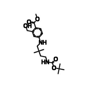 COC(=O)c1ccc(NCC(C)(C)CCNC(=O)OC(C)(C)C)cc1CO